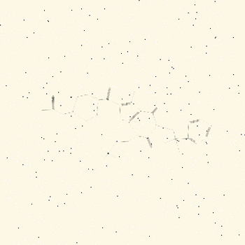 Cc1c(C(=O)N2CCC(CC(=O)O)CC2)sc2c1c(=O)n(CC(C)(O)c1ccccc1)c(=O)n2CCC(F)(F)F